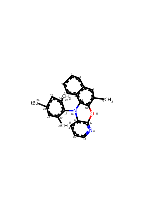 Cc1cc2ccccc2c2c1Oc1ncccc1N2c1c(C)cc(C(C)(C)C)cc1C